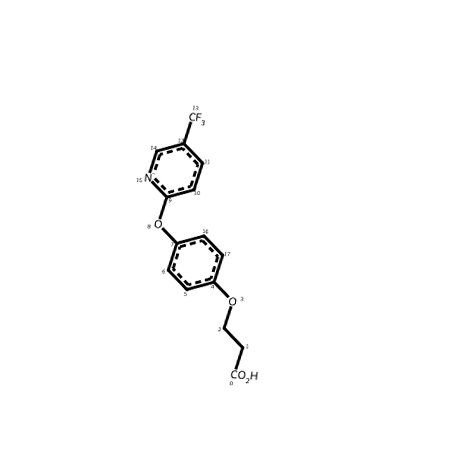 O=C(O)CCOc1ccc(Oc2ccc(C(F)(F)F)cn2)cc1